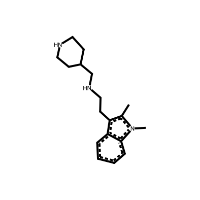 Cc1c(CCNCC2CCNCC2)c2ccccc2n1C